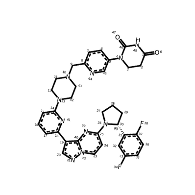 O=C1CCN(c2ccc(CN3CCN(c4cccc(-c5cnn6ccc(N7CCC[C@@H]7c7cc(F)ccc7F)nc56)n4)CC3)nc2)C(=O)N1